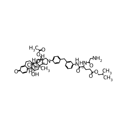 CC(=O)OCC(=O)[C@@]12CN(c3ccc(Cc4cccc(NC(=O)[C@H](CCC(=O)OCC(C)C)NC(=O)CN)c4)cc3)C[C@@H]1C[C@H]1[C@@H]3CCC4=CC(=O)C=C[C@]4(C)[C@H]3[C@@H](O)C[C@@]12C